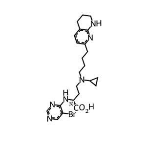 O=C(O)[C@H](CCN(CCCCc1ccc2c(n1)NCCC2)C1CC1)Nc1ncncc1Br